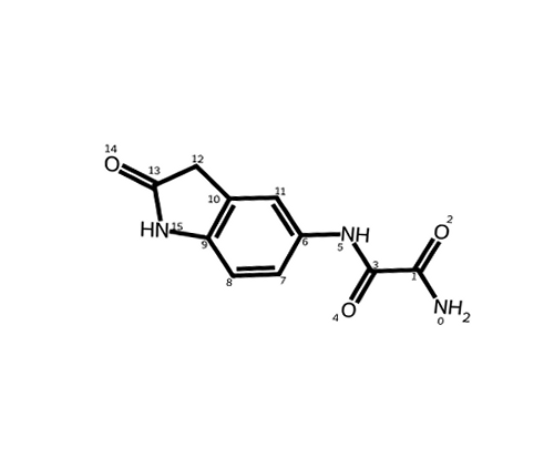 NC(=O)C(=O)Nc1ccc2c(c1)CC(=O)N2